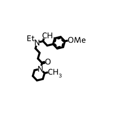 CCN(CCCC(=O)N1CCCCC1C)C(C)Cc1ccc(OC)cc1